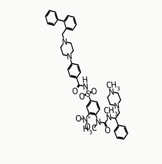 CN1CCN(CC(c2ccccc2)N(C)C(=O)N(C)c2ccc(S(=O)(=O)NC(=O)c3ccc(N4CCN(Cc5ccccc5-c5ccccc5)CC4)cc3)cc2[N+](=O)[O-])CC1